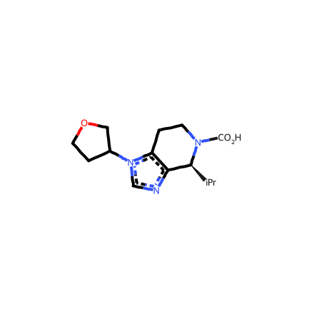 CC(C)[C@H]1c2ncn(C3CCOC3)c2CCN1C(=O)O